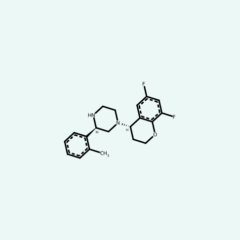 Cc1ccccc1[C@@H]1CN([C@H]2CCOc3c(F)cc(F)cc32)CCN1